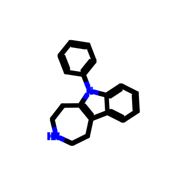 c1ccc(-n2c3c(c4ccccc42)CCNCC3)cc1